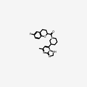 CC1=NC2=NCNN2C(C2CCCN(C(=O)C3CCc4cc(F)ccc4O3)C2)=C1